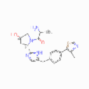 Cc1ncsc1-c1ccc(Cc2cnc([C@@H]3C[C@@H](O)CN3C(=O)C(N)C(C)(C)C)[nH]2)cc1